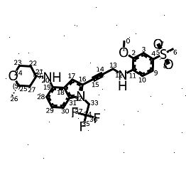 COc1cc(S(C)(=O)=O)ccc1NCC#Cc1cc2c(N[C@@H]3CCO[C@@H](C)C3)cccc2n1CC(F)(F)F